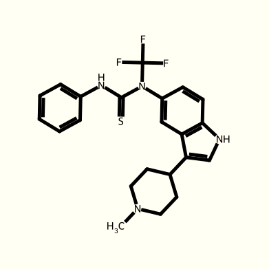 CN1CCC(c2c[nH]c3ccc(N(C(=S)Nc4ccccc4)C(F)(F)F)cc23)CC1